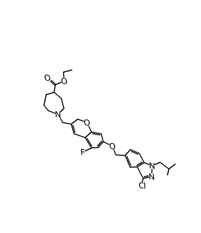 CCOC(=O)C1CCCN(CC2=Cc3c(F)cc(OCc4ccc5c(c4)c(Cl)nn5CC(C)C)cc3OC2)CC1